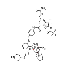 NC(=O)NCCC[C@H](NC(=O)C1(C(=O)OC(=O)C(F)(F)F)CCC1)C(=O)Nc1ccc(COc2ccccc2-c2cc(N3CC4CCC(C3)N4c3ccnc(O[C@H]4C[C@H](OC5CCNCC5)C4)c3)c(N)nn2)cc1